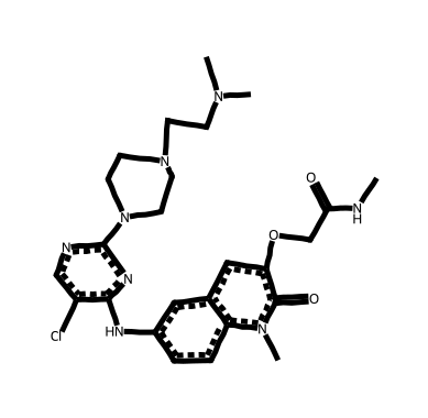 CNC(=O)COc1cc2cc(Nc3nc(N4CCN(CCN(C)C)CC4)ncc3Cl)ccc2n(C)c1=O